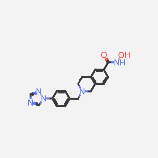 O=C(NO)c1ccc2c(c1)CCN(Cc1ccc(-n3cncn3)cc1)C2